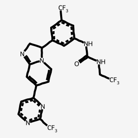 O=C(NCC(F)(F)F)Nc1cc(C2CN=C3C=C(c4ccnc(C(F)(F)F)n4)C=CN32)cc(C(F)(F)F)c1